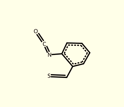 O=C=Nc1ccccc1C=S